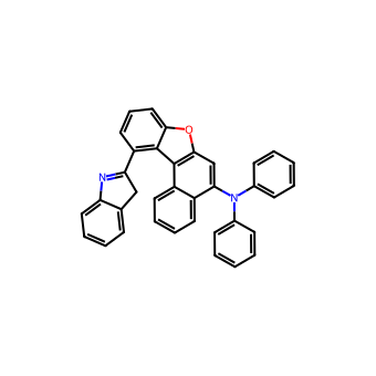 c1ccc(N(c2ccccc2)c2cc3oc4cccc(C5=Nc6ccccc6C5)c4c3c3ccccc23)cc1